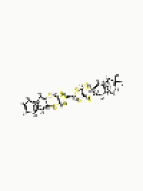 CC1(C)CC2C=CC1c1cc3c(cc12)SC1=C(SC(=C2SC4=C(S2)Sc2cc5c(cc2S4)C2C=CC5CC2)S1)S3